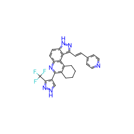 FC(F)(F)c1n[nH]cc1-c1nc2ccc3[nH]nc(/C=C/c4ccncc4)c3c2c2c1CCCC2